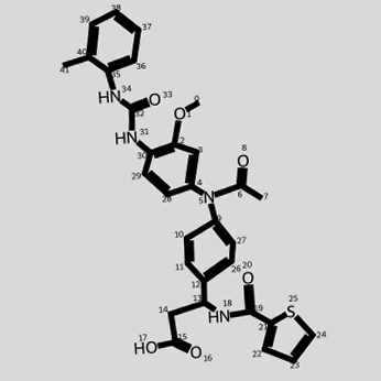 COc1cc(N(C(C)=O)c2ccc(C(CC(=O)O)NC(=O)c3cccs3)cc2)ccc1NC(=O)Nc1ccccc1C